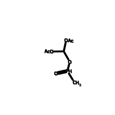 CC(=O)OC(OC(C)=O)O[PH](C)=O